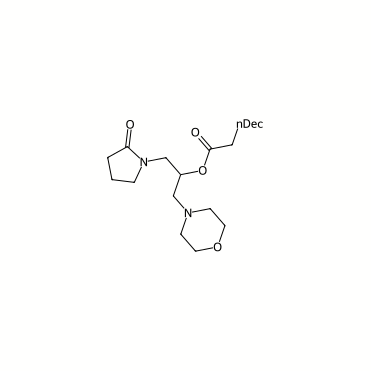 CCCCCCCCCCCC(=O)OC(CN1CCOCC1)CN1CCCC1=O